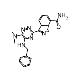 CN(C)c1nnc(C2=NSC3C(C(N)=O)=CC=CC23)nc1NCc1ccccc1